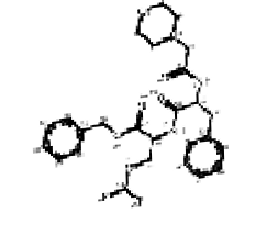 O=C(CN1CCOCC1)N[C@@H](Cc1ccccc1)C(=O)N[C@@H](COC(F)F)C(=O)OCc1ccccc1